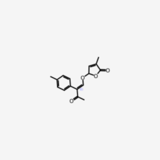 CC(=O)/C(=C/OC1C=C(C)C(=O)O1)c1ccc(C)cc1